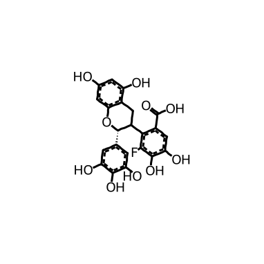 O=C(O)c1cc(O)c(O)c(F)c1C1Cc2c(O)cc(O)cc2O[C@H]1c1cc(O)c(O)c(O)c1